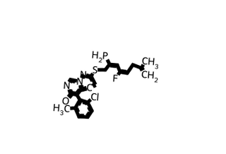 C=C(C)C/C=C(F)\C=C(\P)CSc1ccc2c(-c3c(C)cccc3Cl)c(=O)ncn2n1